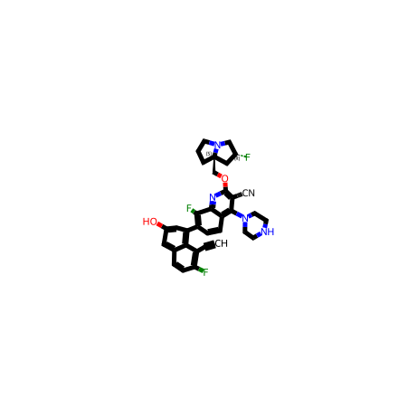 C#Cc1c(F)ccc2cc(O)cc(-c3ccc4c(N5CCNCC5)c(C#N)c(OC[C@@]56CCCN5C[C@H](F)C6)nc4c3F)c12